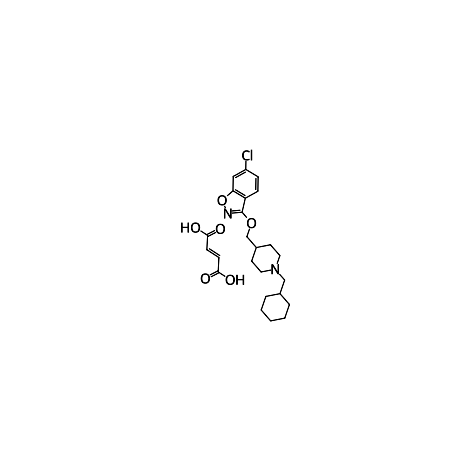 Clc1ccc2c(OCC3CCN(CC4CCCCC4)CC3)noc2c1.O=C(O)C=CC(=O)O